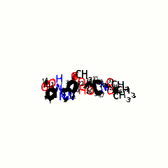 COc1cc2c(Nc3cccc4c3OCO4)ncnc2cc1OCCC1(O)CCN(C(=O)OC(C)(C)C)CC1